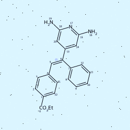 CCOC(=O)c1ccc(/C=C(\c2ccccc2)c2cc(N)nc(N)c2)cc1